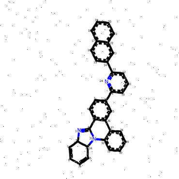 C1=CC2N=C3c4ccc(-c5cccc(-c6ccc7ccccc7c6)n5)cc4-c4ccccc4N3C2C=C1